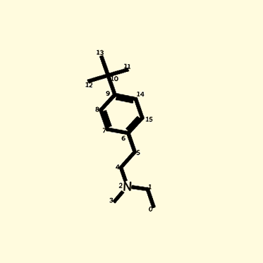 CCN(C)CCc1ccc(C(C)(C)C)cc1